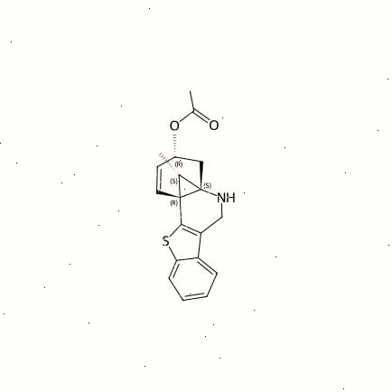 CC(=O)O[C@H]1C=C[C@]23c4sc5ccccc5c4CN[C@@]2(C1)[C@H]3C